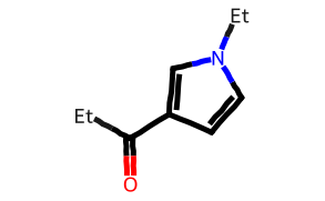 CCC(=O)c1ccn(CC)c1